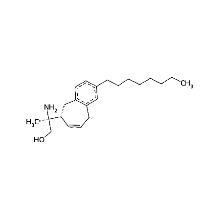 CCCCCCCCc1ccc2c(c1)CC=C[C@H]([C@](C)(N)CO)C2